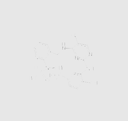 Cc1ccc(C(=O)O)cc1Nc1ncc(Cl)c(NCc2cccnc2N(C)S(C)(=O)=O)n1